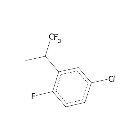 CC(c1cc(Cl)ccc1F)C(F)(F)F